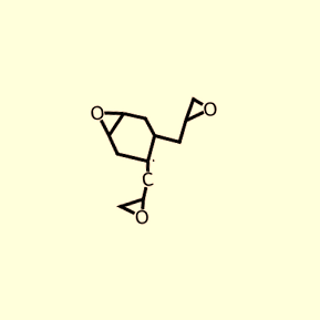 C1OC1C[C]1CC2OC2CC1CC1CO1